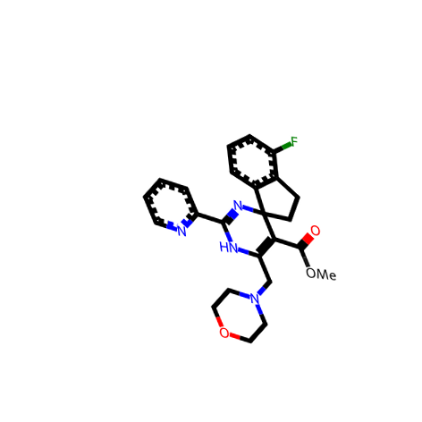 COC(=O)C1=C(CN2CCOCC2)NC(c2ccccn2)=NC12CCc1c(F)cccc12